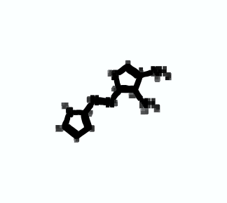 Nc1csc(N=Nc2cccs2)c1N